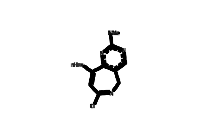 CCCCCCC1=CC(Cl)=NCc2cnc(NC)nc21